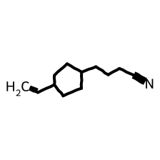 C=CC1CCC(CCCC#N)CC1